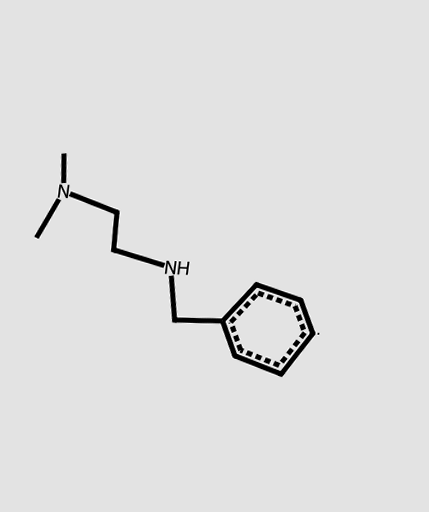 CN(C)CCNCc1cc[c]cc1